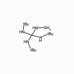 CC(C)(C)NC(N[SiH3])(NC(C)(C)C)NC(C)(C)C